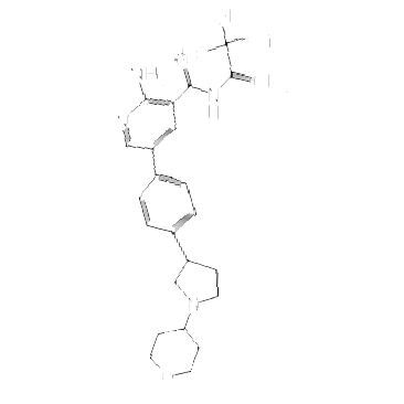 C=C(NC(=O)c1cc(-c2ccc(C3CCN(C4CCOCC4)C3)cc2)cnc1N)C(C)(C)O